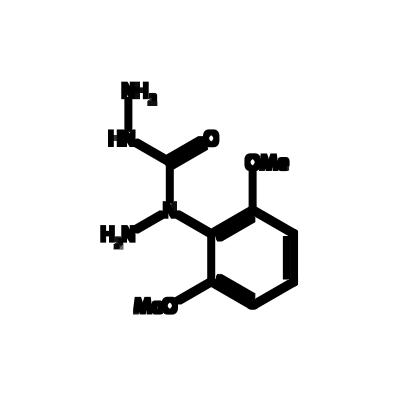 COc1cccc(OC)c1N(N)C(=O)NN